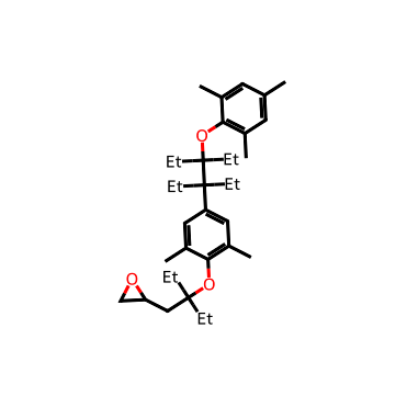 CCC(CC)(CC1CO1)Oc1c(C)cc(C(CC)(CC)C(CC)(CC)Oc2c(C)cc(C)cc2C)cc1C